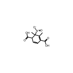 CC1=C(C(=O)O)C=CC(C(=O)O)C1(C)[N+](=O)[O-]